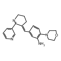 Nc1cc(C=C2CCCN=C2c2cccnc2)ccc1N1CCOCC1